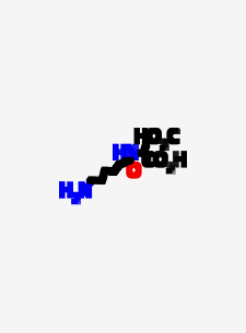 NCCCCCC(=O)N[C@@H](CC(=O)O)C(=O)O